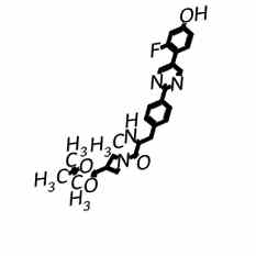 CNC(Cc1ccc(-c2ncc(-c3ccc(O)cc3F)cn2)cc1)C(=O)N1CC(C(=O)OC(C)(C)C)C1